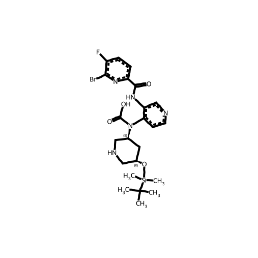 CC(C)(C)[Si](C)(C)O[C@H]1CNC[C@@H](N(C(=O)O)c2ccncc2NC(=O)c2ccc(F)c(Br)n2)C1